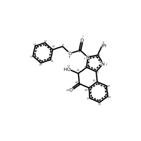 CC(C)c1nc2c(n1C(=O)OCc1ccccc1)C(O)C(=O)c1ccccc1-2